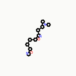 c1ccc(-n2c3ccccc3c3cc(-c4cccc(-c5cnc6oc7ccc(-c8cccc(-c9cccc(-c%10ccc%11oc%12cccnc%12c%11c%10)c9)c8)cc7c6c5)c4)ccc32)cc1